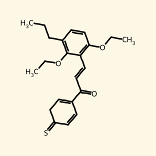 CCCc1ccc(OCC)c(C=CC(=O)C2=CCC(=S)C=C2)c1OCC